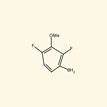 Bc1ccc(F)c(OC)c1F